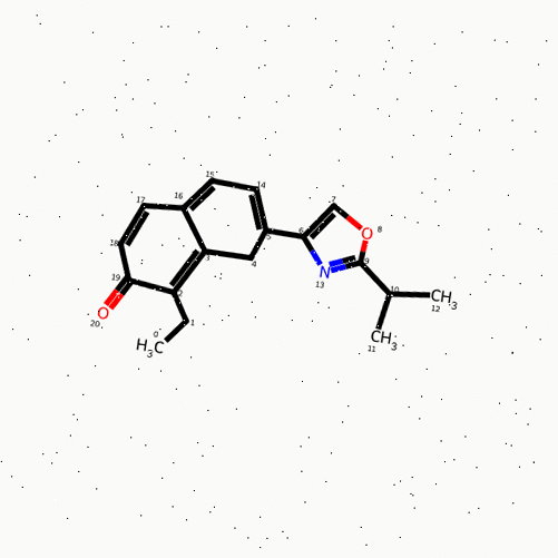 CCC1=C2CC(c3coc(C(C)C)n3)=CC=C2C=CC1=O